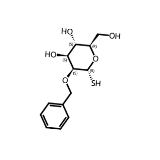 OC[C@H]1O[C@H](S)[C@@H](OCc2ccccc2)[C@@H](O)[C@@H]1O